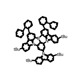 CC(C)(C)c1ccc2c(c1)c1cc(-c3ccccc3-c3ccccc3)cc3c1n2-c1cc(-n2c4cc(C(C)(C)C)ccc4c4ccc(C(C)(C)C)cc42)cc2c1B3c1cc(-c3ccccc3-c3ccccc3)cc3c4cc(C(C)(C)C)ccc4n-2c13